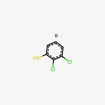 Sc1cccc(Cl)c1Cl.[K]